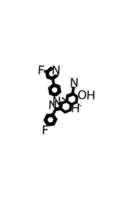 C[C@H]1C(O)C(C#N)=C[C@@]2(C)c3c(c(-c4ccc(F)cc4)nn3-c3ccc(-c4cncc(F)c4)cc3)CC[C@H]12